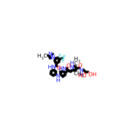 Cc1cn(-c2cc(C(=O)Nc3cccc(Nc4ccc5c(c4)NC(=O)/C5=C\c4[nH]c(C)c(C(=O)NCC(O)CO)c4C)c3)cc(C(F)(F)F)c2)cn1